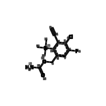 C#Cc1c(Cl)c(F)cc(COC(N)=O)c1[Si](C)(C)C